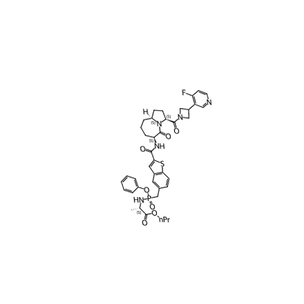 CCCOC(=O)[C@H](C)NP(=O)(Cc1ccc2sc(C(=O)N[C@H]3CCC[C@H]4CC[C@@H](C(=O)N5CC(c6cnccc6F)C5)N4C3=O)cc2c1)Oc1ccccc1